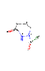 O=C1CCCN(C(=O)Cl)N1